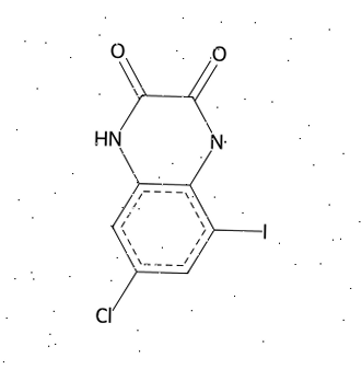 O=C1[N]c2c(I)cc(Cl)cc2NC1=O